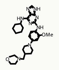 COc1cc(N2CCC(CN3CCOCC3)CC2)ccc1Nc1nc(NC2CCCCC2)c2nc[nH]c2n1